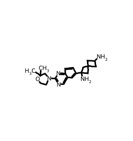 CC1(C)CN(c2ncc3cc(C4(N)CC5(CC(N)C5)C4)ccc3n2)CCO1